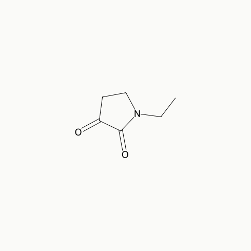 CCN1CCC(=O)C1=O